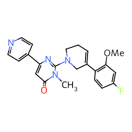 COc1cc(F)ccc1C1=CCCN(c2nc(-c3ccncc3)cc(=O)n2C)C1